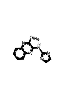 COc1nc2ccccc2nc1Nc1nccs1